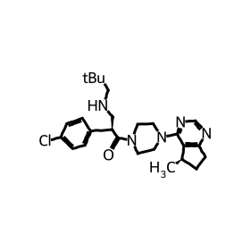 C[C@@H]1CCc2ncnc(N3CCN(C(=O)[C@H](CNCC(C)(C)C)c4ccc(Cl)cc4)CC3)c21